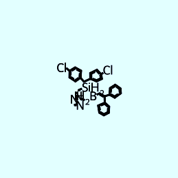 BC=C(c1ccccc1)c1ccccc1.Clc1ccc(C([SiH2]Cn2cncn2)c2ccc(Cl)cc2)cc1